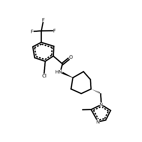 Cc1nccn1C[C@H]1CC[C@H](NC(=O)c2cc(C(F)(F)F)ccc2Cl)CC1